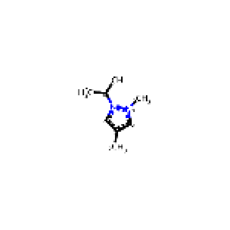 Cc1cn(C)[n+](C(C)C)c1